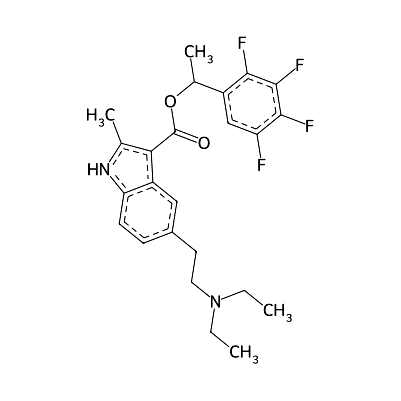 CCN(CC)CCc1ccc2[nH]c(C)c(C(=O)OC(C)c3cc(F)c(F)c(F)c3F)c2c1